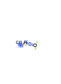 O=C(O)Cn1nnc(-c2cnc(N3CCN(c4cc(F)cc(F)c4)CC3)s2)n1